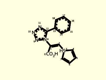 O=C(O)C(=C[SH]1C=CC=C1)n1nnnc1-c1ccccc1